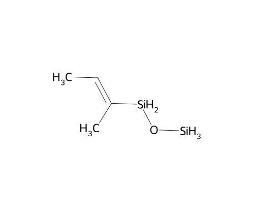 C/C=C(\C)[SiH2]O[SiH3]